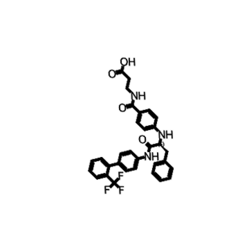 O=C(O)CCNC(=O)c1ccc(N[C@@H](Cc2ccccc2)C(=O)Nc2ccc(-c3ccccc3C(F)(F)F)cc2)cc1